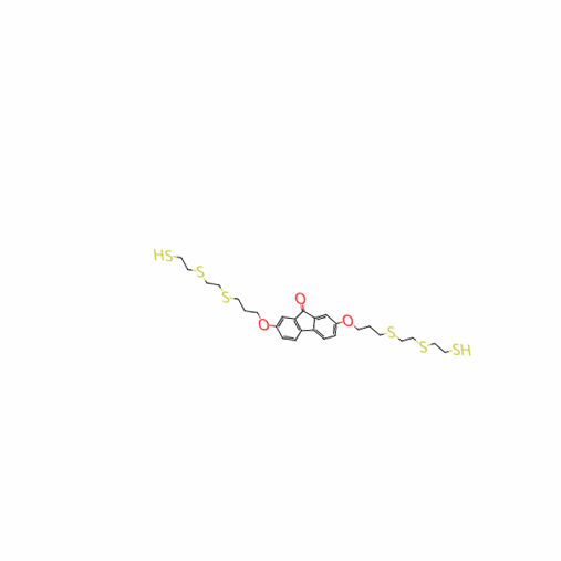 O=C1c2cc(OCCCSCCSCCS)ccc2-c2ccc(OCCCSCCSCCS)cc21